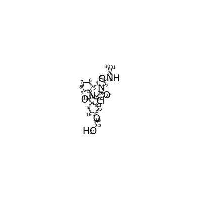 O=C(CN1Cc2ccccc2N(C(=O)c2ccc(OCCO)cc2Cl)CC1=O)NC1CC1